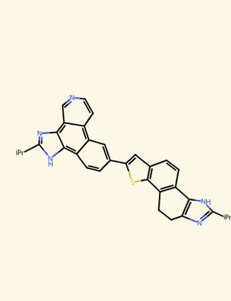 CC(C)c1nc2c([nH]1)-c1ccc3cc(-c4ccc5c(c4)c4ccncc4c4nc(C(C)C)[nH]c54)sc3c1CC2